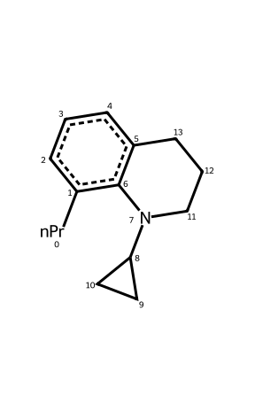 CCCc1cccc2c1N(C1CC1)CCC2